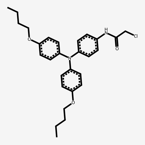 CCCCOc1ccc(N(c2ccc(NC(=O)CCl)cc2)c2ccc(OCCCC)cc2)cc1